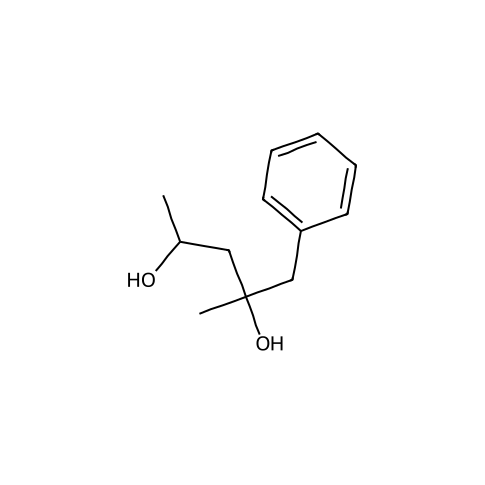 CC(O)CC(C)(O)Cc1ccccc1